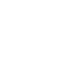 O=S(=O)([O-])[O-].O=S(=O)([O-])[O-].O=S(=O)([O-])[O-].[Cd+2].[Co+2].[Zn+2]